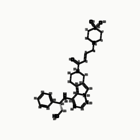 O=C(/C=C/CN1CCS(=O)(=O)CC1)N1CCc2c(cn3ncnc(N[C@H](CO)c4ccccc4)c23)C1